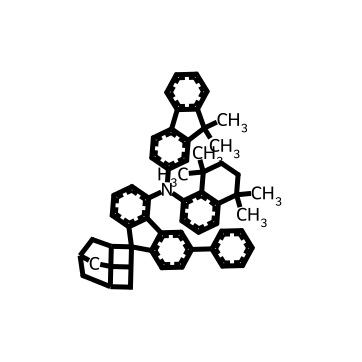 CC1(C)CCC(C)(C)c2c(N(c3ccc4c(c3)C(C)(C)c3ccccc3-4)c3cccc4c3-c3cc(-c5ccccc5)ccc3C43C4CC5CC6CC3C64C5)cccc21